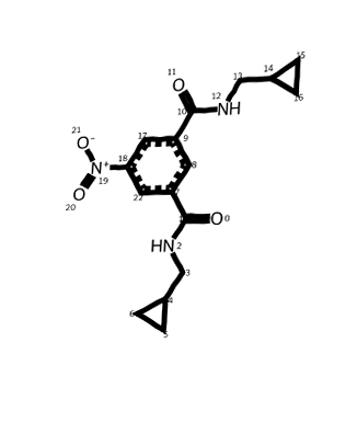 O=C(NCC1CC1)c1cc(C(=O)NCC2CC2)cc([N+](=O)[O-])c1